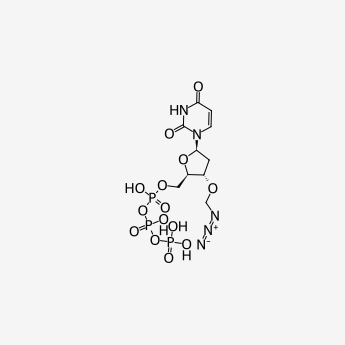 [N-]=[N+]=NCO[C@H]1C[C@H](n2ccc(=O)[nH]c2=O)O[C@@H]1COP(=O)(O)OP(=O)(O)OP(=O)(O)O